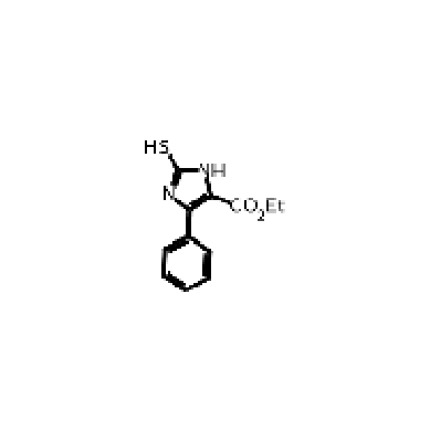 CCOC(=O)c1[nH]c(S)nc1-c1ccccc1